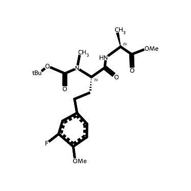 COC(=O)[C@H](C)NC(=O)[C@H](CCc1ccc(OC)c(F)c1)N(C)C(=O)OC(C)(C)C